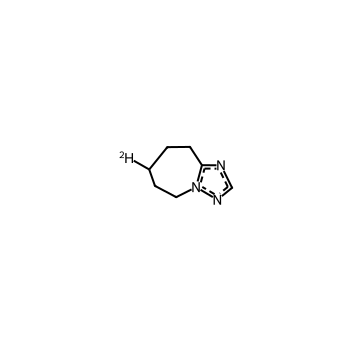 [2H]C1CCc2ncnn2CC1